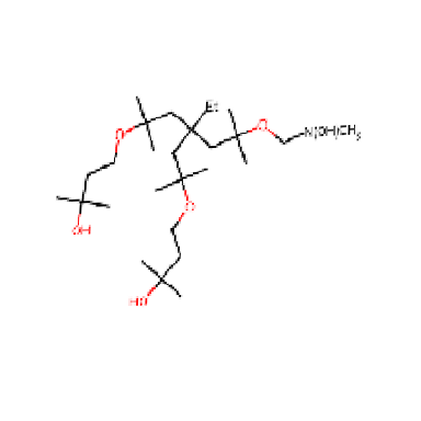 CCC(CC(C)(C)OCCC(C)(C)O)(CC(C)(C)OCCC(C)(C)O)CC(C)(C)OCN(C)O